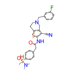 CN(C)[SH](C)(=O)c1ccc(CC(=O)Nc2sc3c(c2C#N)CN(Cc2cccc(F)c2)CC3)cc1